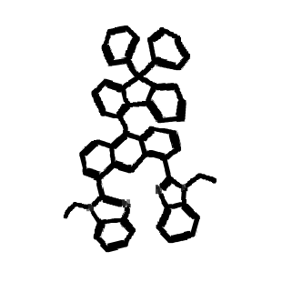 CCn1c(-c2cccc3c(-c4cccc5c4-c4ccccc4C5(c4ccccc4)c4ccccc4)c4cccc(-c5nc6ccccc6n5CC)c4cc23)nc2ccccc21